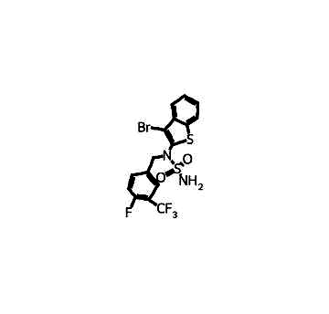 NS(=O)(=O)N(Cc1ccc(F)c(C(F)(F)F)c1)c1sc2ccccc2c1Br